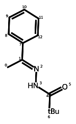 CC(=NNC(=O)C(C)(C)C)c1ccccc1